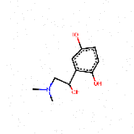 CN(C)CC(O)c1cc(O)ccc1O